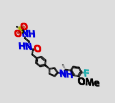 COc1cc([C@@H](C)N[C@H]2CC[C@@H](c3ccc(CC(=O)NCCNS(C)(=O)=O)cc3)C2)ccc1F